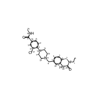 CCN1Cc2ccc(CN3CCN(c4ccc(C(=O)NC)cc4Cl)CC3)cc2NC1=O